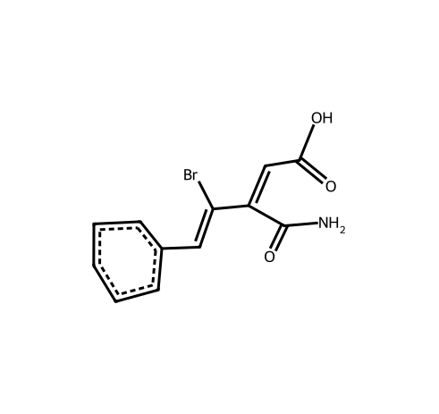 NC(=O)C(=C\C(=O)O)/C(Br)=C/c1ccccc1